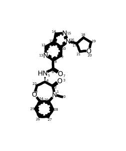 CN1C(=O)[C@@H](NC(=O)c2cc3c(cn2)cnn3C2CCOC2)COc2ccccc21